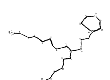 CCCCCCCCC(CCCCCC)OCCN1CCOCC1